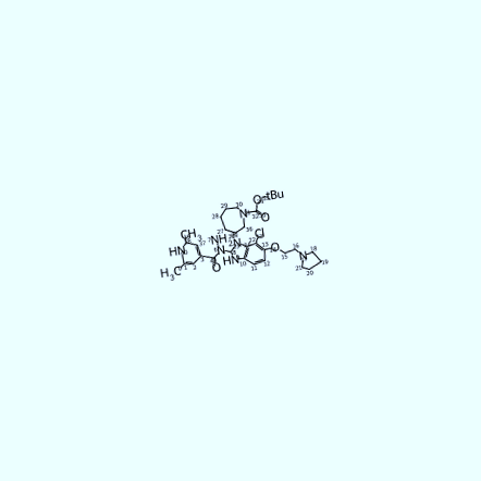 CC1=CC(C(=O)N(N)C2Nc3ccc(OCCN4CCCC4)c(Cl)c3N2[C@@H]2CCCCN(C(=O)OC(C)(C)C)C2)=CC(C)N1